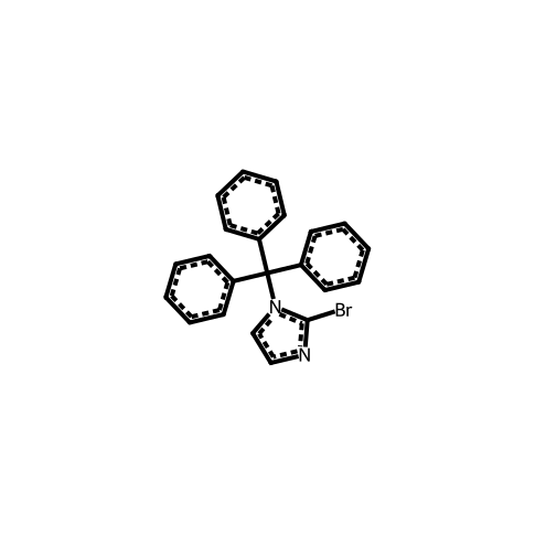 Brc1nccn1C(c1ccccc1)(c1ccccc1)c1ccccc1